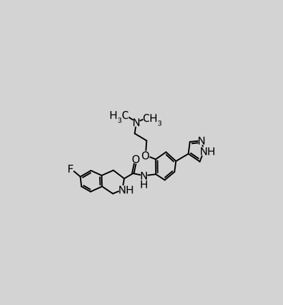 CN(C)CCOc1cc(-c2cn[nH]c2)ccc1NC(=O)C1Cc2cc(F)ccc2CN1